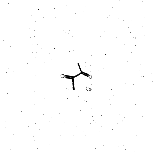 CC(=O)C(C)=O.[Co]